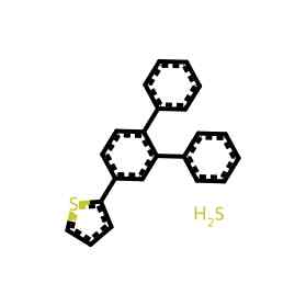 S.c1ccc(-c2ccc(-c3cccs3)cc2-c2ccccc2)cc1